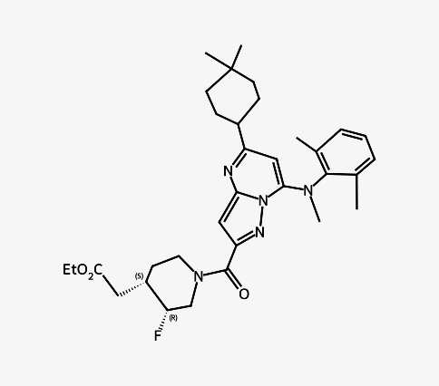 CCOC(=O)C[C@@H]1CCN(C(=O)c2cc3nc(C4CCC(C)(C)CC4)cc(N(C)c4c(C)cccc4C)n3n2)C[C@@H]1F